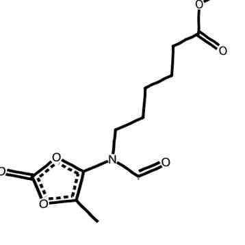 COC(=O)CCCCCN([C]=O)c1oc(=O)oc1C